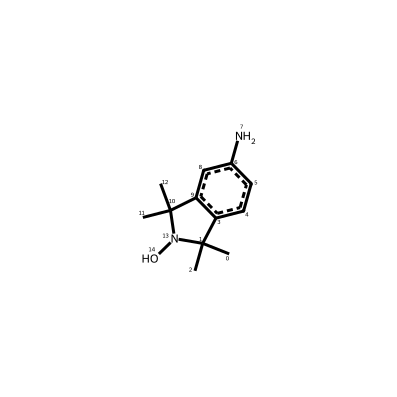 CC1(C)c2ccc(N)cc2C(C)(C)N1O